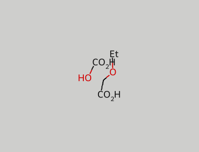 CCOCC(=O)O.O=C(O)O